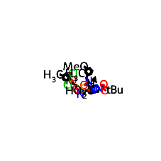 COc1cccc(CN(C(=O)C2=C(c3cnc(OCCOc4c(Cl)cc(C)cc4Cl)s3)CC3CN(C(=O)OC(C)(C)C)C[C@H]2N3C(=O)O)C2CC2)c1C